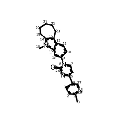 Cc1ccc(-c2ccn(-c3ccc4c5c(n(C)c4c3)CCCCC5)c(=O)n2)cn1